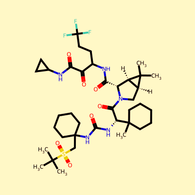 CC1([C@H](NC(=O)NC2(CS(=O)(=O)C(C)(C)C)CCCCC2)C(=O)N2C[C@H]3[C@@H]([C@H]2C(=O)NC(CCC(F)(F)F)C(=O)C(=O)NC2CC2)C3(C)C)CCCCC1